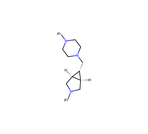 CC(C)N1CCN(C[C@@H]2[C@H]3CN(C(C)C)C[C@@H]23)CC1